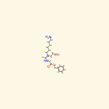 CC(NCC(=O)OCc1ccccc1)N(CCO)CCCCCCN